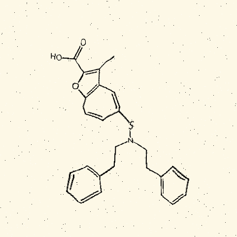 Cc1c(C(=O)O)oc2ccc(SN(CCc3ccccc3)CCc3ccccc3)cc12